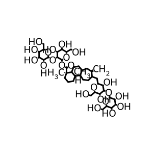 C=C1CC2CCC3[C@](C)(C(=O)OC4OC(CO)C(O)C(O)C4OC4OC(CO)C(O)C(O)C4O)CCC[C@@]3(C)[C@@H]2CCC1CC1OC(CO)C(O)C(OC2OC(CO)C(O)C(O)C2O)C1O